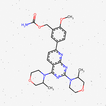 COc1ccc(-c2ccc3c(N4CCOCC4C)nc(N4CCOCC4C)nc3n2)cc1COC(N)=O